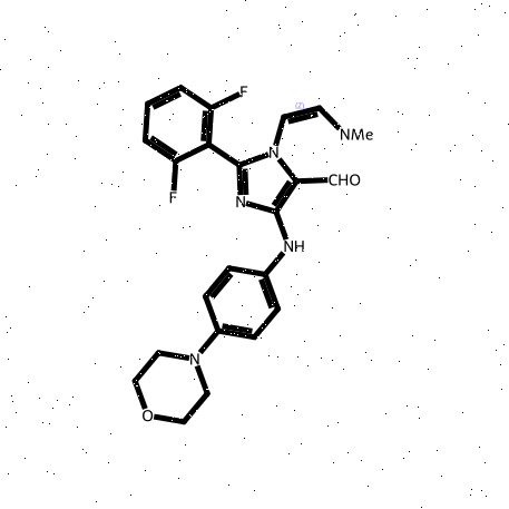 CN/C=C\n1c(-c2c(F)cccc2F)nc(Nc2ccc(N3CCOCC3)cc2)c1C=O